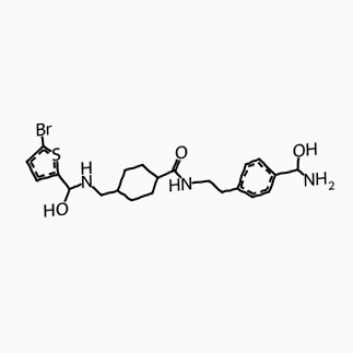 NC(O)c1ccc(CCNC(=O)C2CCC(CNC(O)c3ccc(Br)s3)CC2)cc1